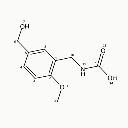 COc1ccc(CO)cc1CNC(=O)O